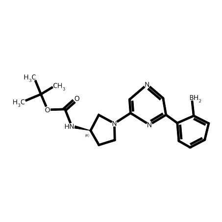 Bc1ccccc1-c1cncc(N2CC[C@@H](NC(=O)OC(C)(C)C)C2)n1